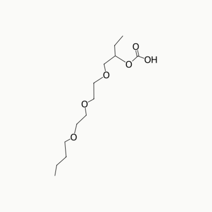 CCCCOCCOCCOCC(CC)OC(=O)O